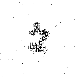 Bc1c(B)c(B)c(-c2ccc(-c3ccc(-c4cccc5oc6cc(-c7nc(-c8ccccc8)nc(-c8ccccc8)n7)ccc6c45)cc3)cc2)c(B)c1B